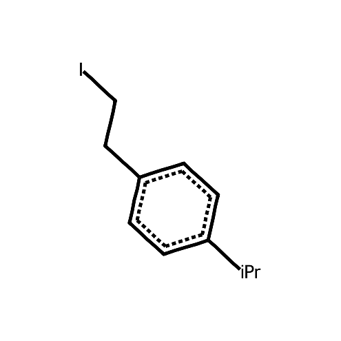 CC(C)c1ccc(CCI)cc1